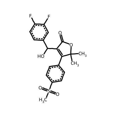 CC1(C)OC(=O)C(C(O)c2ccc(F)c(F)c2)=C1c1ccc(S(C)(=O)=O)cc1